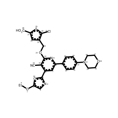 CCOc1cnc(-c2cc(-c3ccc(N4CCOCC4)cc3)nc(OCc3cc(C(=O)O)sc3Cl)c2C#N)o1